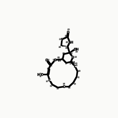 CC1=CC(=O)O[C@@H]2C[C@@H](CCCCCCCCC1)O[C@@](O)([C@@H]1CSC(=O)N1)C2